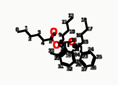 CCCCCC(=O)[O][Sn]([CH2]CCC)([O][Sn]([CH2]CCC)([CH2]CCC)[c]1ccccc1)[c]1ccccc1